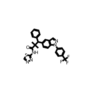 CC(C)(C(=O)Nc1nncs1)C(c1ccccc1)c1ccc2c(cnn2-c2ccc(C(F)(F)F)cc2)c1